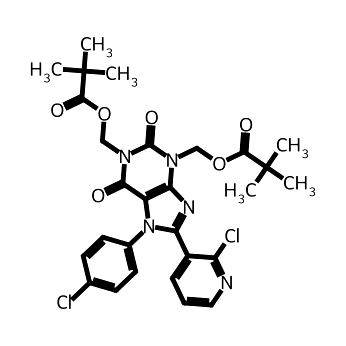 CC(C)(C)C(=O)OCn1c(=O)c2c(nc(-c3cccnc3Cl)n2-c2ccc(Cl)cc2)n(COC(=O)C(C)(C)C)c1=O